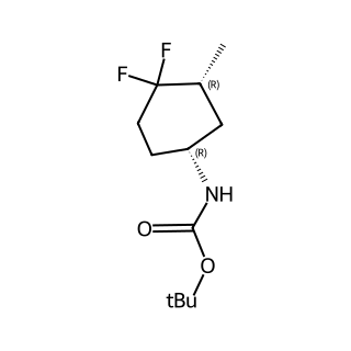 C[C@@H]1C[C@H](NC(=O)OC(C)(C)C)CCC1(F)F